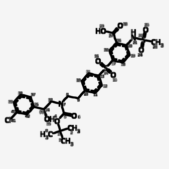 CC(C)(C)OC(=O)N(CCc1ccc(S(=O)(=O)c2ccc(NS(C)(=O)=O)c(C(=O)O)c2)cc1)C[C@@H](O)c1cccc(Cl)c1